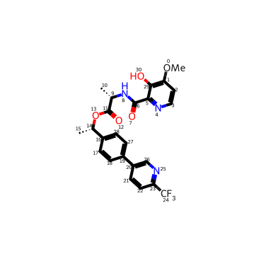 COc1ccnc(C(=O)N[C@@H](C)C(=O)O[C@@H](C)c2ccc(-c3ccc(C(F)(F)F)nc3)cc2)c1O